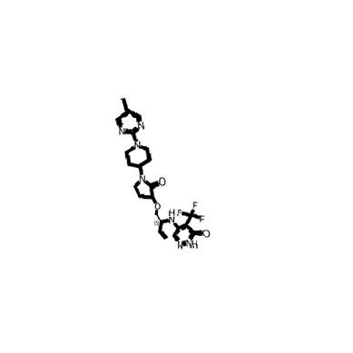 C=C[C@@H](COC1CCN(C2CCN(c3ncc(C)cn3)CC2)C1=O)Nc1cn[nH]c(=O)c1C(F)(F)F